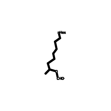 CCCCCCCCCCCCC(C)O[C]=O